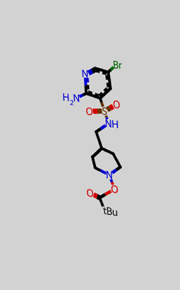 CC(C)(C)C(=O)ON1CCC(CNS(=O)(=O)c2cc(Br)cnc2N)CC1